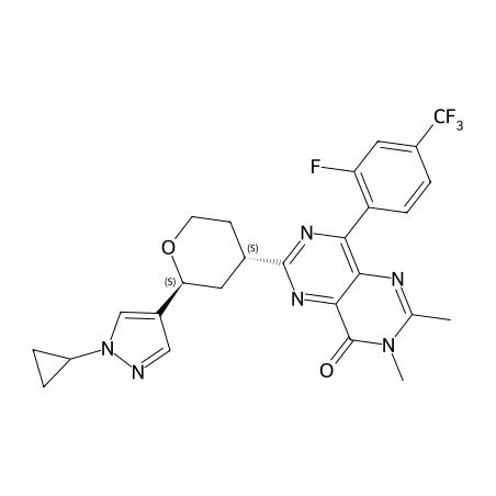 Cc1nc2c(-c3ccc(C(F)(F)F)cc3F)nc([C@H]3CCO[C@H](c4cnn(C5CC5)c4)C3)nc2c(=O)n1C